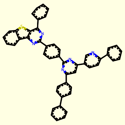 c1ccc(-c2ccc(-c3cc(-c4ccc(-c5ccccc5)nc4)nc(-c4ccc(-c5nc(-c6ccccc6)c6sc7ccccc7c6n5)cc4)n3)cc2)cc1